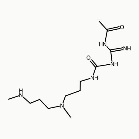 CNCCCN(C)CCCNC(=O)NC(=N)NC(C)=O